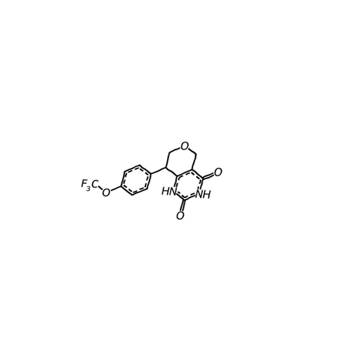 O=c1[nH]c2c(c(=O)[nH]1)COCC2c1ccc(OC(F)(F)F)cc1